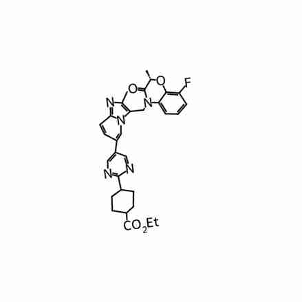 CCOC(=O)C1CCC(c2ncc(-c3ccc4nc(C)c(CN5C(=O)[C@@H](C)Oc6c(F)cccc65)n4c3)cn2)CC1